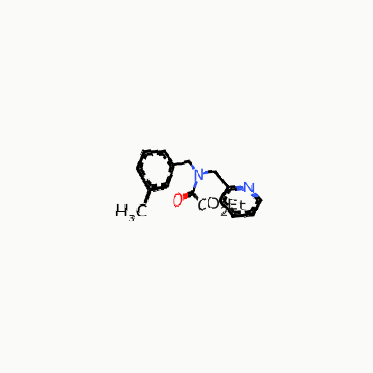 CCOC(=O)C(=O)N(Cc1cccc(C)c1)Cc1ccccn1